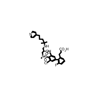 CN(C[C@H](O)CNC(C)(C)CCCc1ccncc1)S(=O)(=O)c1c(Cl)cc(-c2c(F)cccc2CCC(=O)O)cc1Cl